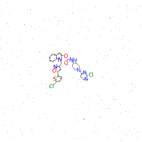 O=C(NC1CCN(c2ccnc(Cl)n2)CC1)Oc1cc2ccccc2n1Cc1cc(-c2ccc(Cl)s2)on1